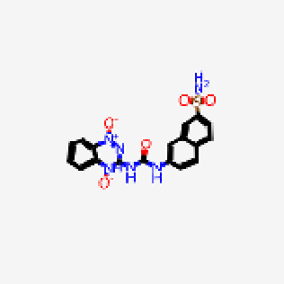 NS(=O)(=O)c1ccc2ccc(NC(=O)NC3N=[N+]([O-])c4ccccc4[NH+]3[O-])cc2c1